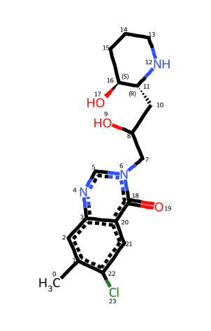 Cc1cc2ncn(CC(O)C[C@H]3NCCC[C@@H]3O)c(=O)c2cc1Cl